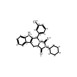 O=C1C2Cc3c([nH]c4ccccc34)C(c3cccc(Cl)c3)N2C(=S)N1C1CCCCC1